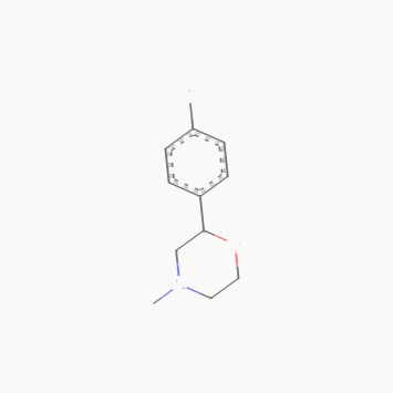 CC(=O)c1ccc(C2CN(C)CCO2)cc1